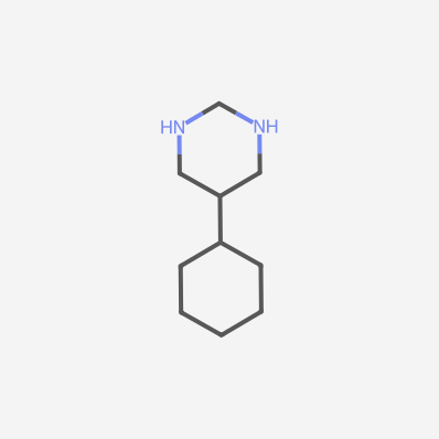 C1CCC(C2CNCNC2)CC1